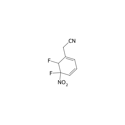 N#CCC1=CC=CC(F)([N+](=O)[O-])C1F